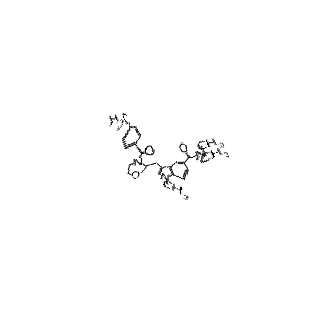 Cc1ccc(C(=O)N2CCOCC2Cc2cn(C)c3ccc(C(=O)N(C)C)cc23)cc1